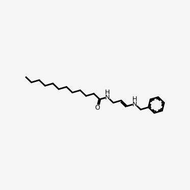 CCCCCCCCCCCC(=O)NCC=CNCc1ccccc1